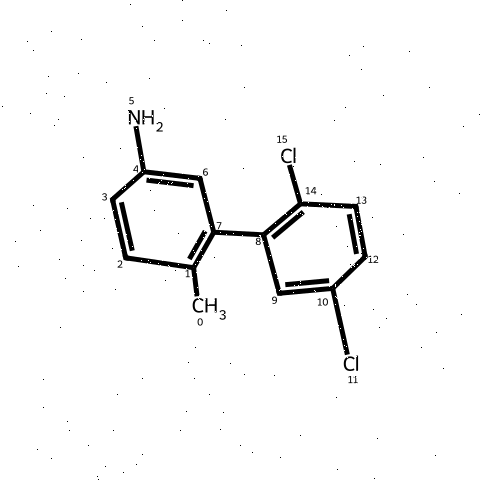 Cc1ccc(N)cc1-c1cc(Cl)ccc1Cl